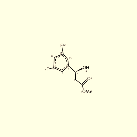 COC(=O)C[C@H](O)c1cc(F)cc(F)c1